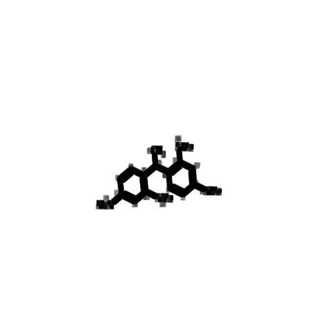 CNc1ccc(C(C)c2ccc(NC)cc2NC)c(NC)c1